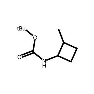 CC1CCC1NC(=O)OC(C)(C)C